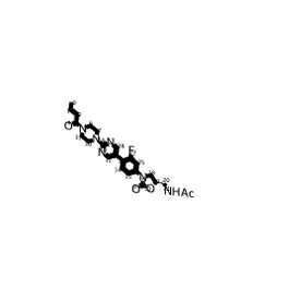 C/C=C/C(=O)N1CCN(c2ncc(-c3ccc(N4C[C@H](CNC(C)=O)OC4=O)cc3F)cn2)CC1